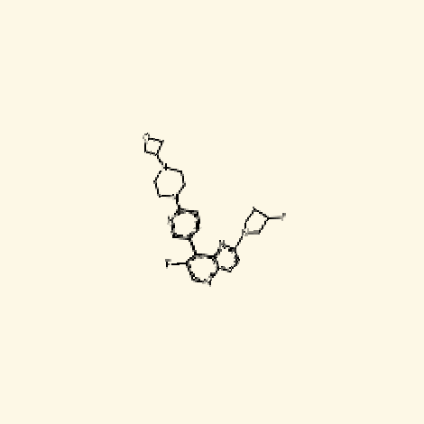 Fc1cnc2ccc(N3CCC(F)C3)nc2c1-c1ccc(N2CCN(C3COC3)CC2)nc1